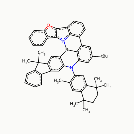 Cc1cc2c(cc1N1c3cc4c(cc3B3c5c(cc(C(C)(C)C)cc51)-c1cccc5c6oc7ccccc7c6n3c15)C(C)(C)c1ccccc1-4)C(C)(C)CCC2(C)C